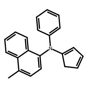 Cc1ccc(N(C2=CC=CC2)c2ccccc2)c2ccccc12